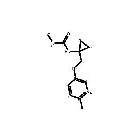 COC(=O)NC1(CNc2ccc(C)nc2)CC1